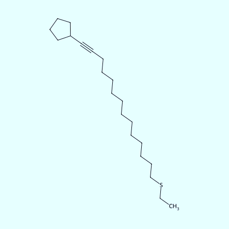 CCSCCCCCCCCCCCCC#CC1CCCC1